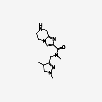 CC1CN(C)N=C1CN(C)C(=O)c1cn2c(n1)CNCC2